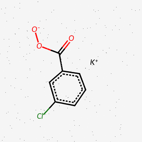 O=C(O[O-])c1cccc(Cl)c1.[K+]